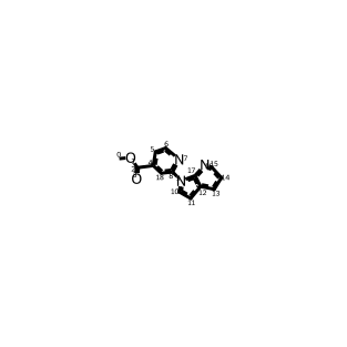 COC(=O)c1ccnc(-n2ccc3cccnc32)c1